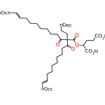 CCCCCCCCC=CCCCCCCCC(=O)C(CCCCCCCCCCCC)(C(=O)CCCCCCCC=CCCCCCCCC)C(=O)OC(CCC(=O)O)C(=O)O